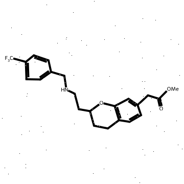 COC(=O)Cc1ccc2c(c1)OC(CCNCc1ccc(C(F)(F)F)cc1)CC2